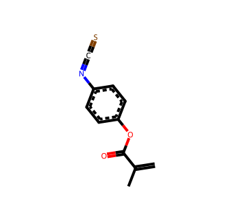 C=C(C)C(=O)Oc1ccc(N=C=S)cc1